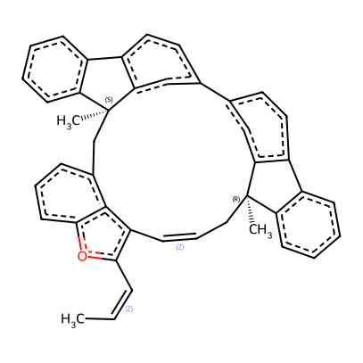 C/C=C\c1oc2cccc3c2c1/C=C\C[C@]1(C)c2ccccc2-c2ccc(cc21)-c1ccc2c(c1)[C@@](C)(C3)c1ccccc1-2